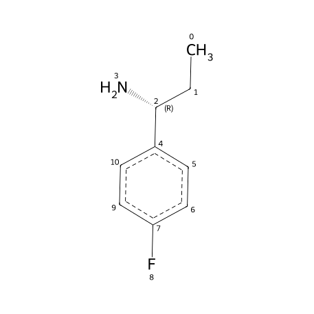 CC[C@@H](N)c1ccc(F)cc1